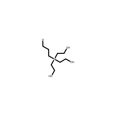 [O]CCC[N+](CCO)(CCO)CCO